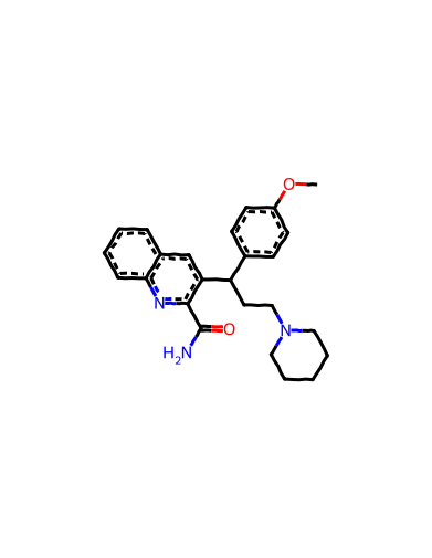 COc1ccc(C(CCN2CCCCC2)c2cc3ccccc3nc2C(N)=O)cc1